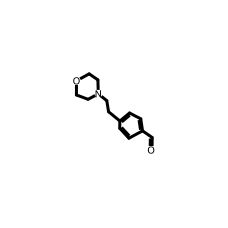 O=Cc1ccc(CCN2CCOCC2)cc1